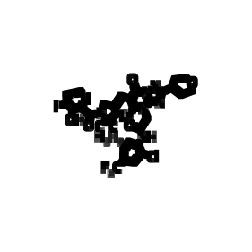 CCc1c(/C=C2/CN(C(=O)c3nccc(F)c3O)C(C)(C)C2)c(=O)n2nc(C3=CCOCC3)nc2n1CC(=O)Nc1ccc(C(F)(F)F)cc1Cl